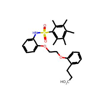 Cc1c(C)c(C)c(S(=O)(=O)Nc2ccccc2OCCOc2ccccc2CCC(=O)O)c(C)c1C